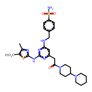 CCOC(=O)c1sc(Nc2nc(CC(=O)N3CCC(N4CCCCC4)CC3)cc(NCc3ccc(S(N)(=O)=O)cc3)n2)nc1C